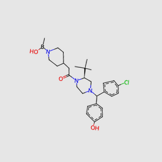 CB(O)N1CCC(CC(=O)N2CCN(C(c3ccc(O)cc3)c3ccc(Cl)cc3)C[C@@H]2C(C)(C)C)CC1